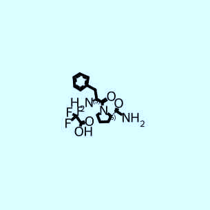 NC(=O)[C@@H]1CCCN1C(=O)[C@@H](N)Cc1ccccc1.O=C(O)C(F)(F)F